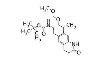 COCOCC(C)c1cc2c(cc1CCNC(=O)OC(C)(C)C)CCC(=O)N2